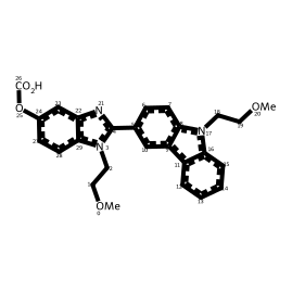 COCCn1c(-c2ccc3c(c2)c2ccccc2n3CCOC)nc2cc(OC(=O)O)ccc21